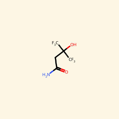 NC(=O)CC(O)(C(F)(F)F)C(F)(F)F